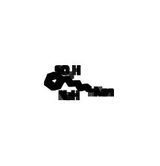 CCCCCCCCCCCCCCc1ccccc1S(=O)(=O)O.[NaH]